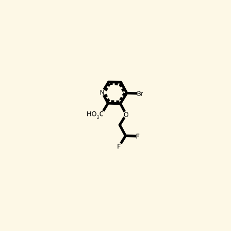 O=C(O)c1nccc(Br)c1OCC(F)F